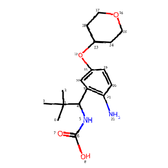 CC(C)(C)C(NC(=O)O)c1cc(OC2CCOCC2)ccc1N